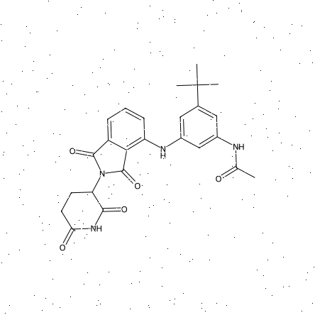 CC(=O)Nc1cc(Nc2cccc3c2C(=O)N(C2CCC(=O)NC2=O)C3=O)cc(C(C)(C)C)c1